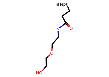 CCCCCCCCCC(=O)NCCOCCO